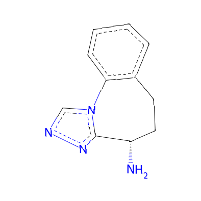 N[C@H]1CCc2ccccc2-n2cnnc21